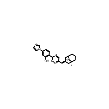 C[C@]12CCCC(C/C(=C\c3cnc(-c4ccc(-n5ccnc5)cc4O)nn3)C1)N2